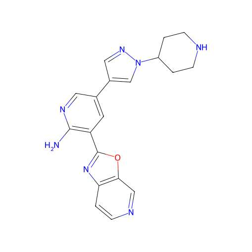 Nc1ncc(-c2cnn(C3CCNCC3)c2)cc1-c1nc2ccncc2o1